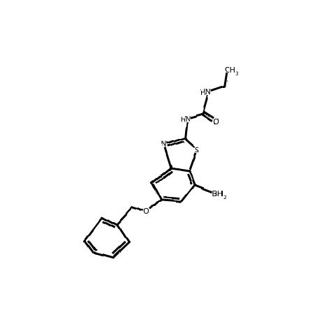 Bc1cc(OCc2ccccc2)cc2nc(NC(=O)NCC)sc12